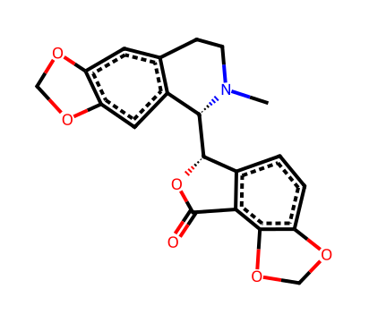 CN1CCc2cc3c(cc2[C@H]1[C@H]1OC(=O)c2c1ccc1c2OCO1)OCO3